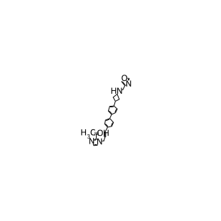 C[C@H](O)c1nccn1CC#Cc1ccc(-c2ccc(C3CC(NCc4cocn4)C3)cc2)cc1